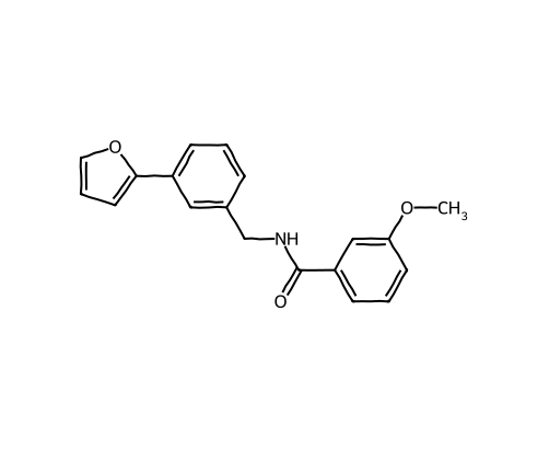 COc1cccc(C(=O)NCc2cccc(-c3ccco3)c2)c1